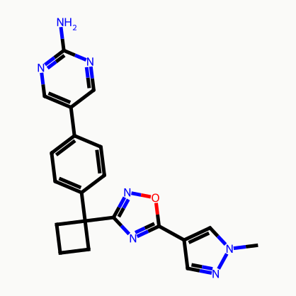 Cn1cc(-c2nc(C3(c4ccc(-c5cnc(N)nc5)cc4)CCC3)no2)cn1